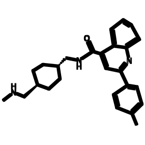 CNC[C@H]1CC[C@H](CNC(=O)c2cc(-c3ccc(C)cc3)nc3ccccc23)CC1